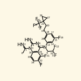 CC(=N)n1c(=N)nc(N(CC(F)F)c2cc(F)cc(CCC3(C(F)(F)F)CC3)c2)c2c(F)c(F)ccc21